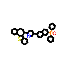 O=P(c1ccccc1)(c1ccccc1)c1ccc2cc(-c3ccc(C4=CCc5ccccc5-c5sc6ccccc6c54)nc3)ccc2c1